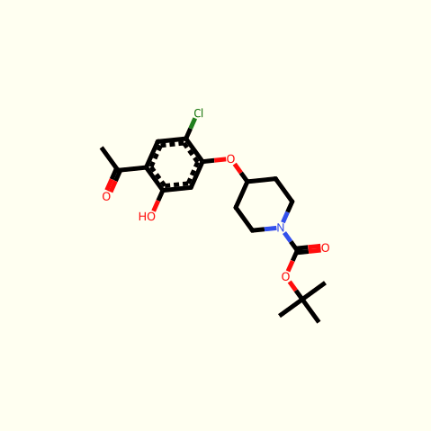 CC(=O)c1cc(Cl)c(OC2CCN(C(=O)OC(C)(C)C)CC2)cc1O